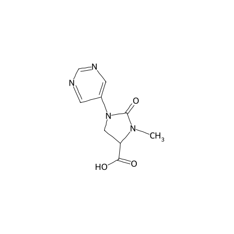 CN1C(=O)N(c2cncnc2)CC1C(=O)O